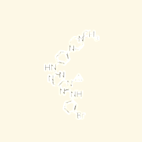 CN1CCN(c2ccc(Nc3ncc4nc(Nc5cccc(Br)c5)n(C5CC5)c4n3)cc2)CC1